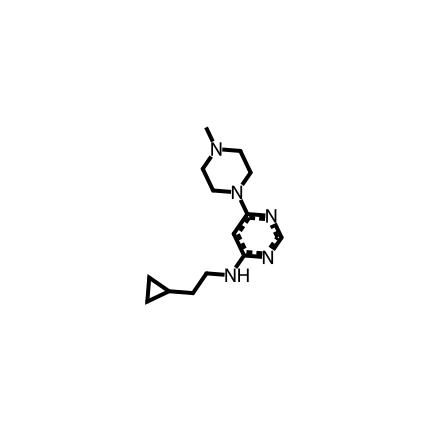 CN1CCN(c2cc(NCCC3CC3)ncn2)CC1